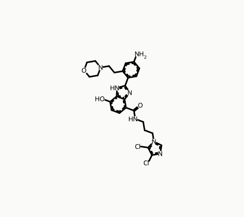 Nc1ccc(-c2nc3c(C(=O)NCCCn4cnc(Cl)c4Cl)ccc(O)c3[nH]2)c(CCN2CCOCC2)c1